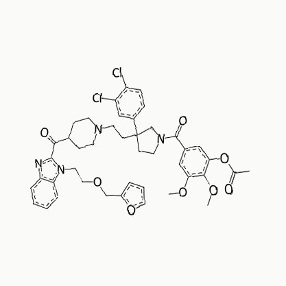 COc1cc(C(=O)N2CCC(CCN3CCC(C(=O)c4nc5ccccc5n4CCOCc4ccco4)CC3)(c3ccc(Cl)c(Cl)c3)C2)cc(OC(C)=O)c1OC